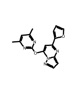 Cc1cc(C)nc(Oc2cc(-c3ccco3)nc3ccnn23)n1